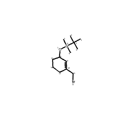 CC(C)(C)[Si](C)(C)OC1C=C(CBr)CCC1